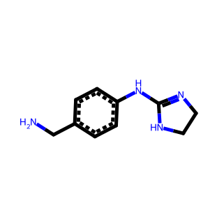 NCc1ccc(NC2=NCCN2)cc1